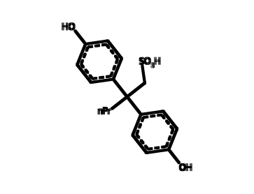 CCCC(CS(=O)(=O)O)(c1ccc(O)cc1)c1ccc(O)cc1